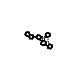 c1ccc(-n2c3ccc(-c4ccc5ccccc5c4)cc3c3ccc4c5ccccc5sc4c32)cc1